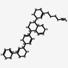 NCCCCC1=CC(C2CCC(C3=CCC(C4C=C(C5=CC=CCC5)CCC4)C=C3)C3C=CCCC32)CCC1